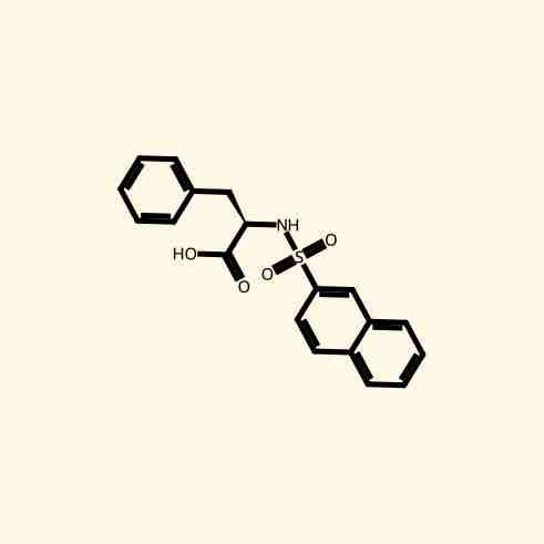 O=C(O)[C@@H](Cc1ccccc1)NS(=O)(=O)c1ccc2ccccc2c1